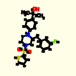 CC(C)(O)c1ccc(N2CCN(S(=O)(=O)c3cccs3)C[C@@H]2Cc2cccc(F)c2)cc1